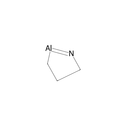 C1C[N]=[Al][CH2]1